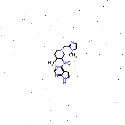 CC1CCN(Cc2nccn2C)CC1N(C)c1ncnc2[nH]ccc12